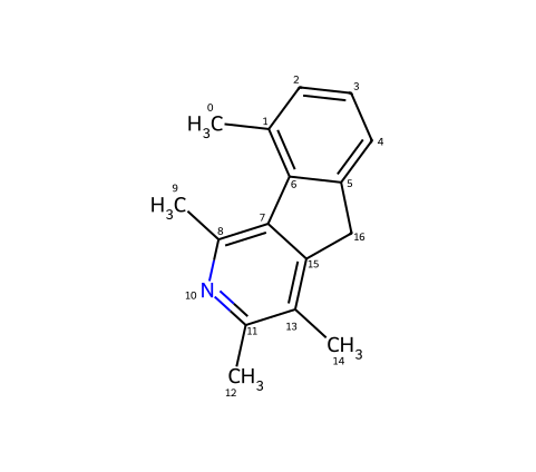 Cc1cccc2c1-c1c(C)nc(C)c(C)c1C2